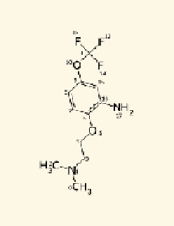 CN(C)CCOc1ccc(OC(F)(F)F)cc1N